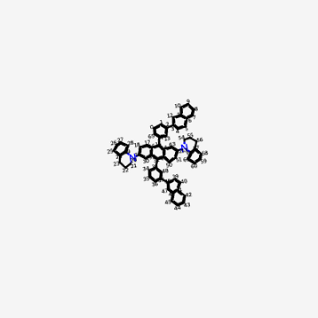 c1cc(-c2ccc3ccccc3c2)cc(-c2c3ccc(N4CCCc5ccccc54)cc3c(-c3cccc(-c4ccc5ccccc5c4)c3)c3ccc(N4CCCc5ccccc54)cc23)c1